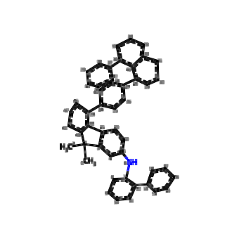 CC1(C)c2cc(Nc3ccccc3-c3ccccc3)ccc2-c2c(-c3ccc(-c4cccc5cccc(-c6ccccc6)c45)cc3)cccc21